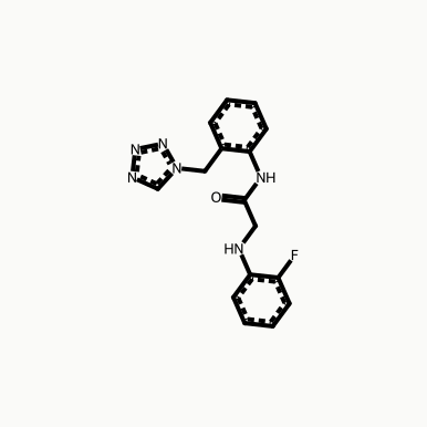 O=C(CNc1ccccc1F)Nc1ccccc1Cn1cnnn1